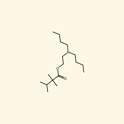 CCCCN(CCCC)CCOC(=O)C(C)(C)C(C)C